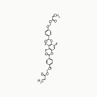 C=CC(=O)OCOc1ccc(C(=O)Oc2cc(F)c(OC(=O)c3ccc(OCOC(=O)C=C)cc3)c(F)c2F)cc1